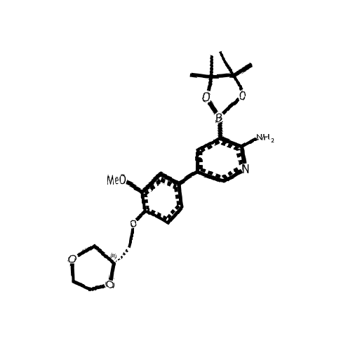 COc1cc(-c2cnc(N)c(B3OC(C)(C)C(C)(C)O3)c2)ccc1OC[C@H]1COCCO1